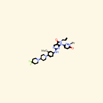 C=CCn1c(=O)c2cnc(NC3C=C(OC)C(N4CCC(N5CCC(F)(F)CC5)CC4)=CC3)nc2n1-c1ccc(=O)n(C(C)C)n1